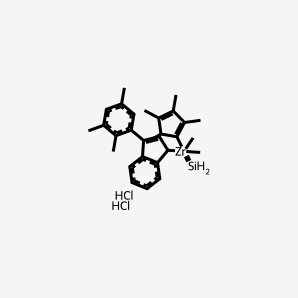 CC1=C(C)C(C)[C]([Zr]([CH3])([CH3])(=[SiH2])[CH]2C=C(c3cc(C)cc(C)c3C)c3ccccc32)=C1C.Cl.Cl